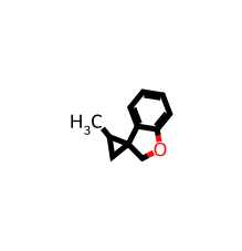 CC1CC12COc1ccccc12